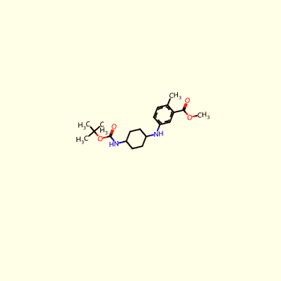 COC(=O)c1cc(NC2CCC(NC(=O)OC(C)(C)C)CC2)ccc1C